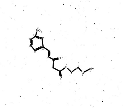 CCCOCCOC(=O)CC(=O)C=Cc1cccc([N+](=O)[O-])c1